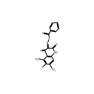 O=C1Nc2cc(C(F)(F)F)c(F)c([N+](=O)[O-])c2C(=O)C1=NOC(=O)c1ccccc1